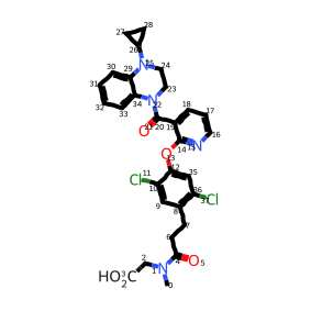 CN(CC(=O)O)C(=O)CCc1cc(Cl)c(Oc2ncccc2C(=O)N2CCN(C3CC3)c3ccccc32)cc1Cl